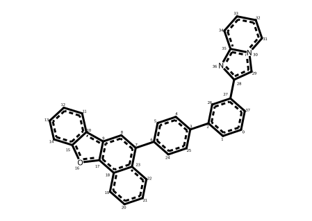 c1cc(-c2ccc(-c3cc4c5ccccc5oc4c4ccccc34)cc2)cc(-c2cn3ccccc3n2)c1